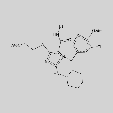 CCNC(=O)c1c(NCCNC)nc(NC2CCCCC2)n1Cc1ccc(OC)c(Cl)c1